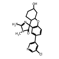 CN1C(=O)C2(N=C1N)c1cc(-c3cncc(Cl)c3)ccc1OC1CC(O)CCC12